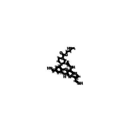 CNCCOC(=O)N1CCN(c2cc(C=N)cc(Nc3nc(NC4CC4)c4ncc(C=N)n4n3)c2Cl)CC1